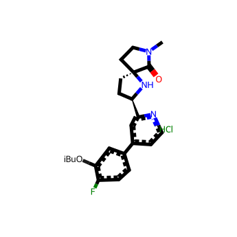 CC(C)COc1cc(-c2ccnc([C@H]3CC[C@@]4(CCN(C)C4=O)N3)c2)ccc1F.Cl